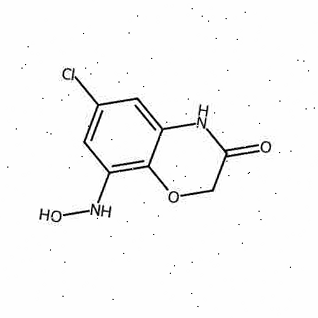 O=C1COc2c(NO)cc(Cl)cc2N1